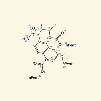 CCCCCOC(=O)Oc1ccc(C(C(C)C(C)OC(=O)OCCCCC)[C@H](N)C(=O)O)cc1OC(=O)OCCCCC